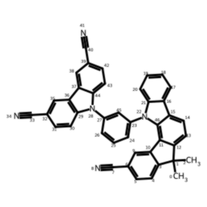 CC1(C)c2ccc(C#N)cc2-c2c1ccc1c3ccccc3n(-c3cccc(-n4c5ccc(C#N)cc5c5cc(C#N)ccc54)c3)c21